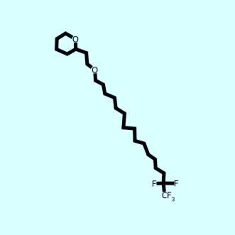 FC(F)(F)C(F)(F)CCCCCCCCCCCCCCOCCC1CCCCO1